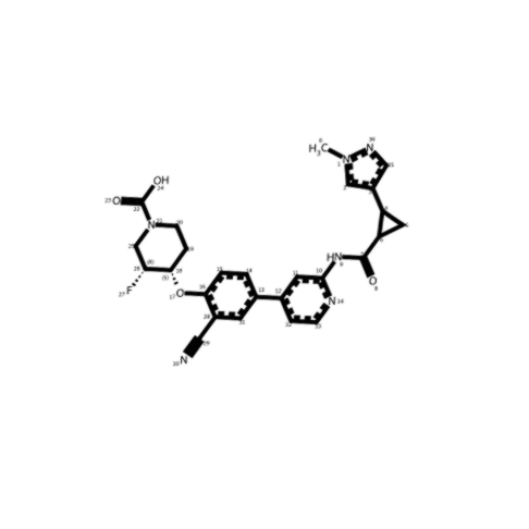 Cn1cc(C2CC2C(=O)Nc2cc(-c3ccc(O[C@H]4CCN(C(=O)O)C[C@H]4F)c(C#N)c3)ccn2)cn1